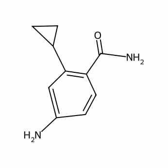 NC(=O)c1ccc(N)cc1C1CC1